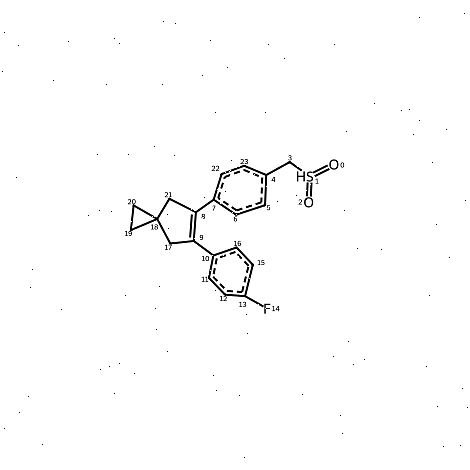 O=[SH](=O)Cc1ccc(C2=C(c3ccc(F)cc3)CC3(CC3)C2)cc1